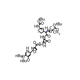 CCCCOC1=CNC(c2nc(C(=O)NC[C@H]3NC(=O)[C@H]3NC(=O)/C(=N\OC(C)(C)C(=O)OC(C)(C)C)C3CSC(NC(=O)OC(C)(C)C)=N3)co2)C=C1OCCCC